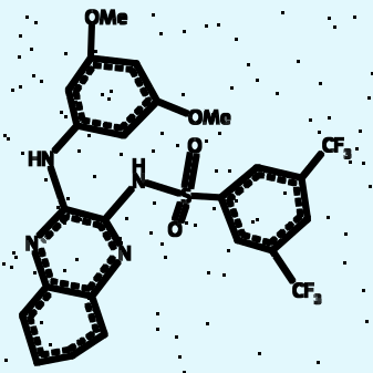 COc1cc(Nc2nc3ccccc3nc2NS(=O)(=O)c2cc(C(F)(F)F)cc(C(F)(F)F)c2)cc(OC)c1